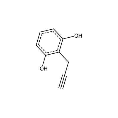 C#CCc1c(O)cccc1O